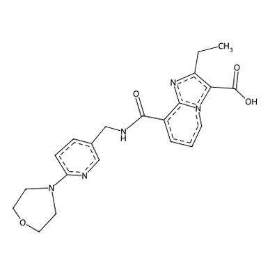 CCc1nc2c(C(=O)NCc3ccc(N4CCOCC4)nc3)cccn2c1C(=O)O